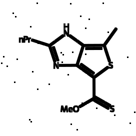 CCCc1nc2c(C(=S)OC)sc(C)c2[nH]1